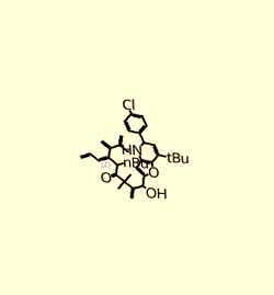 C=C/C=C(\C(=C)C(=C)C)C(CCCC)C(=O)C(C)(C)C(=C)C(O)c1cc2c(o1)C(C(C)(C)C)=CC(c1ccc(Cl)cc1)N2